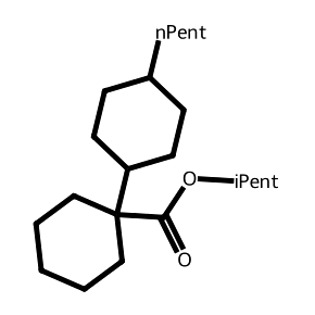 CCCCCC1CCC(C2(C(=O)OC(C)CCC)CCCCC2)CC1